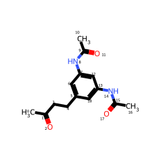 CC(=O)CCc1cc(NC(C)=O)cc(NC(C)=O)c1